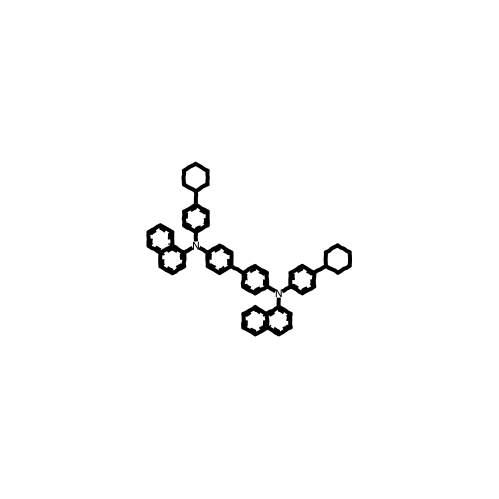 c1ccc2c(N(c3ccc(-c4ccc(N(c5ccc(C6CCCCC6)cc5)c5cccc6ccccc56)cc4)cc3)c3ccc(C4CCCCC4)cc3)cccc2c1